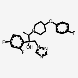 C[C@@H](N1CCC(Oc2ccc(F)cc2)CC1)[C@](O)(Cn1cncn1)c1ccc(F)cc1F